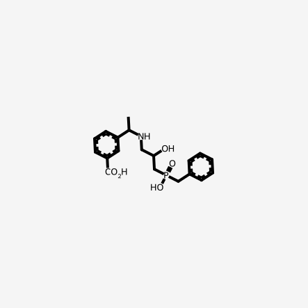 CC(NCC(O)CP(=O)(O)Cc1ccccc1)c1cccc(C(=O)O)c1